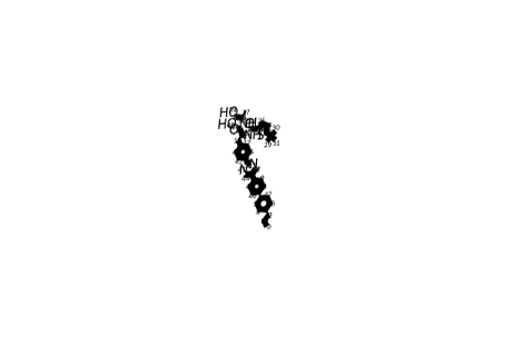 CCC[C@H]1CC[C@H](c2ccc(-c3cnc(-c4ccc(C[C@H](NC(=O)c5ccc(C(C)(C)C)s5)C(=O)N[C@H](C)C(O)O)cc4)nc3)cc2)CC1